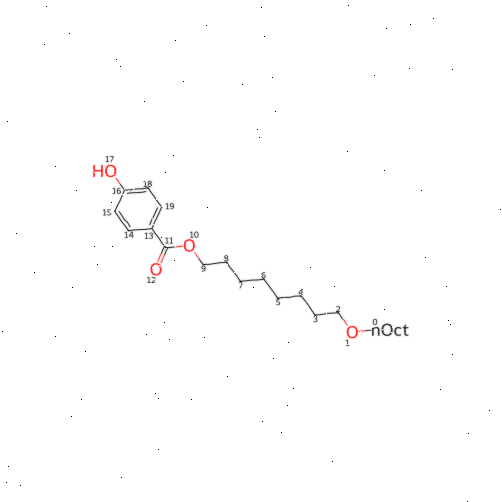 CCCCCCCCOCCCCCCCCOC(=O)c1ccc(O)cc1